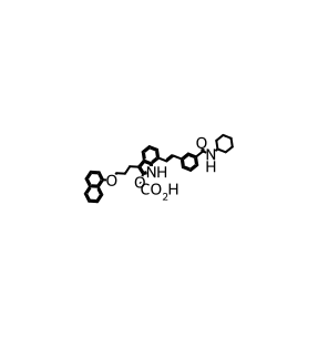 O=C(O)Oc1[nH]c2c(/C=C/c3cccc(C(=O)NC4CCCCC4)c3)cccc2c1CCCOc1cccc2ccccc12